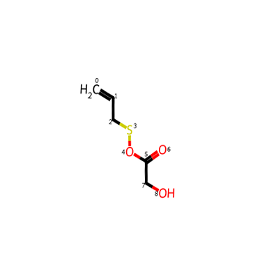 C=CCSOC(=O)CO